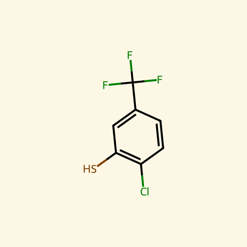 FC(F)(F)c1ccc(Cl)c(S)c1